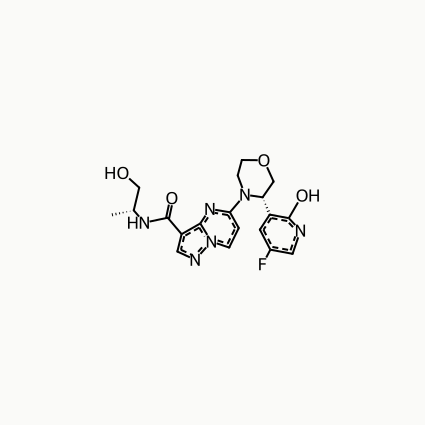 C[C@H](CO)NC(=O)c1cnn2ccc(N3CCOC[C@@H]3c3cc(F)cnc3O)nc12